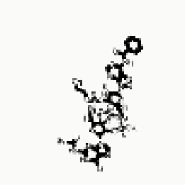 CC(C)C(=O)Nc1nc2c(ncn2[C@@H]2O[C@@H]3COP(=S)(OCCC#N)O[C@H]4[C@H](F)[C@H](n5nnc6c(NC(=O)c7ccccc7)ncnc65)O[C@@H]4COP(O)(=S)O[C@H]2[C@@H]3O[Si](C)(C)C(C)(C)C)c(=O)[nH]1